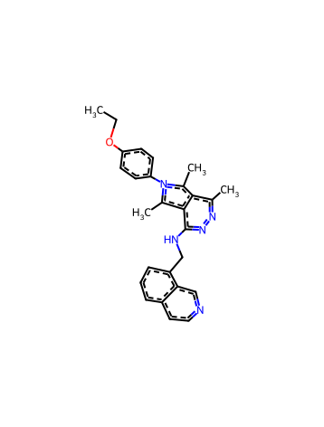 CCOc1ccc(-n2c(C)c3c(C)nnc(NCc4cccc5ccncc45)c3c2C)cc1